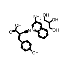 N#C/C(=C\c1ccc(O)cc1)C(=O)O.Nc1cnc2ccccc2c1.OCC(O)CO